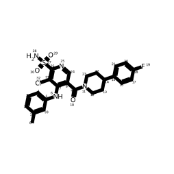 Cc1cccc(Nc2c(C(=O)N3CCC(c4ccc(F)cc4)CC3)cnc(S(N)(=O)=O)c2Cl)c1